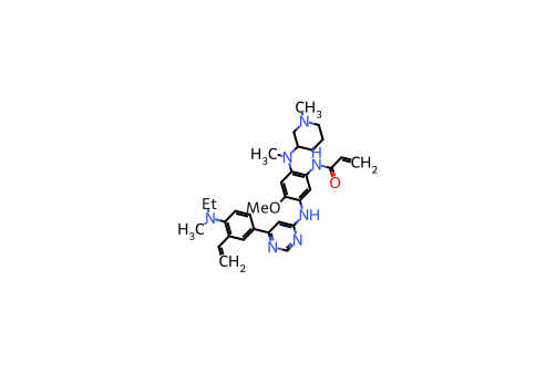 C=CC(=O)Nc1cc(Nc2cc(-c3ccc(N(C)CC)c(C=C)c3)ncn2)c(OC)cc1N(C)C1CCCN(C)C1